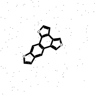 c1cc2cc3c4cocc4c4ccoc4c3cc2o1